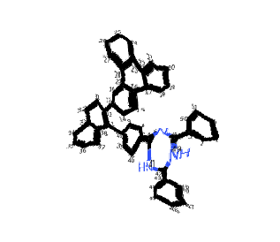 c1ccc(C2N=C(c3ccc(-c4c(-c5ccc6c7ccccc7c7ccccc7c6c5)ccc5ccccc45)cc3)NC(c3ccccc3)N2)cc1